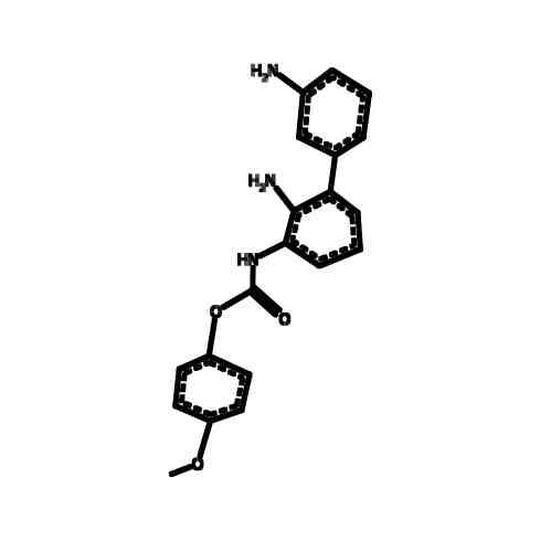 COc1ccc(OC(=O)Nc2cccc(-c3cccc(N)c3)c2N)cc1